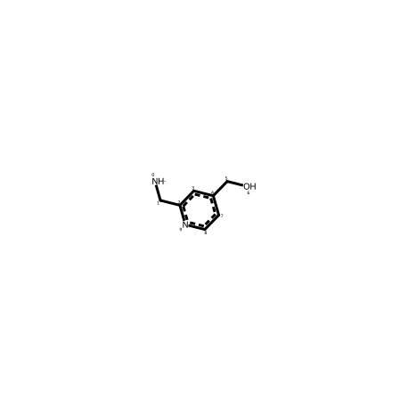 [NH]Cc1cc(CO)ccn1